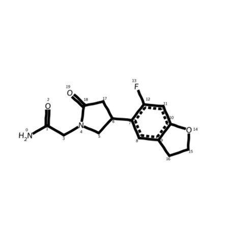 NC(=O)CN1CC(c2cc3c(cc2F)OCC3)CC1=O